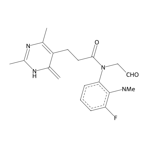 C=C1NC(C)=NC(C)=C1CCC(=O)N(CC=O)c1cccc(F)c1NC